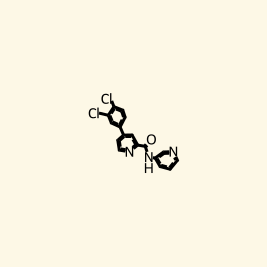 O=C(Nc1cccnc1)c1cc(-c2ccc(Cl)c(Cl)c2)ccn1